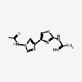 CC(=O)Nn1cnc(-c2csc(NC(=N)N)n2)c1